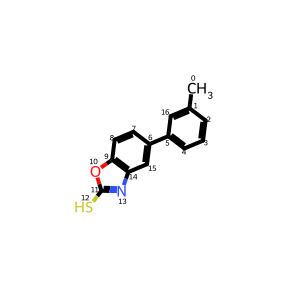 Cc1cccc(-c2ccc3oc(S)nc3c2)c1